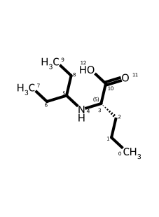 CCC[C@H](NC(CC)CC)C(=O)O